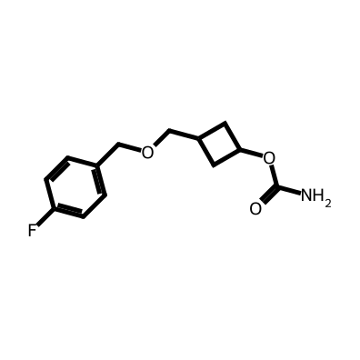 NC(=O)OC1CC(COCc2ccc(F)cc2)C1